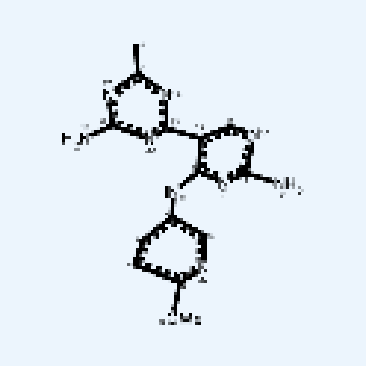 COc1ccc(Nc2nc(N)ncc2-c2nc(C)nc(N)n2)cn1